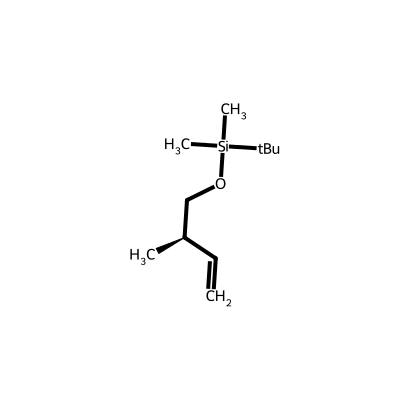 C=C[C@@H](C)CO[Si](C)(C)C(C)(C)C